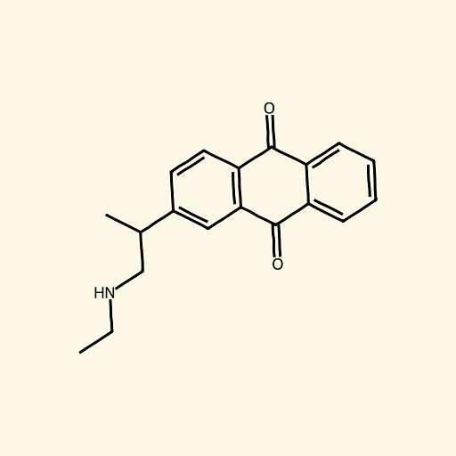 CCNCC(C)c1ccc2c(c1)C(=O)c1ccccc1C2=O